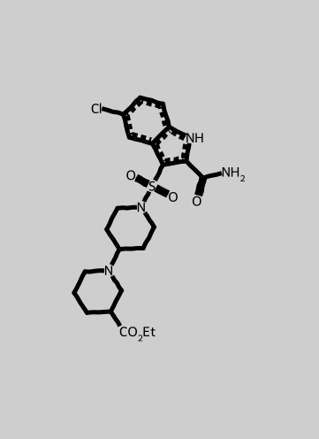 CCOC(=O)C1CCCN(C2CCN(S(=O)(=O)c3c(C(N)=O)[nH]c4ccc(Cl)cc34)CC2)C1